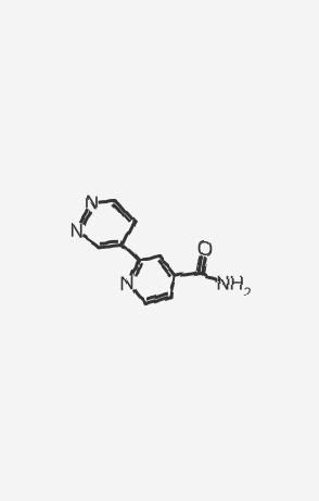 NC(=O)c1ccnc(-c2ccnnc2)c1